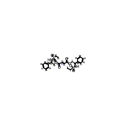 CCS(=O)(=O)N[C@@H](COC(=O)/C=C/C(=O)OC[C@H](NS(=O)(=O)CC)c1ccccc1)c1ccccc1